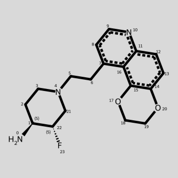 N[C@H]1CCN(CCc2ccnc3ccc4c(c23)OCCO4)C[C@@H]1F